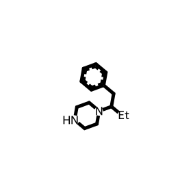 CCC(Cc1ccccc1)N1CCNCC1